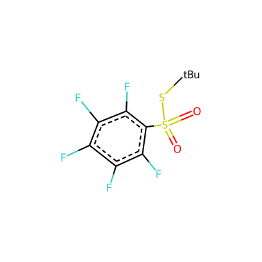 CC(C)(C)SS(=O)(=O)c1c(F)c(F)c(F)c(F)c1F